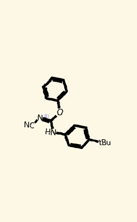 CC(C)(C)c1ccc(N/C(=N\C#N)Oc2ccccc2)cc1